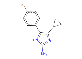 Nc1nc(C2CC2)c(-c2ccc(Br)cc2)[nH]1